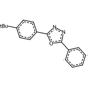 CC(C)(C)c1ccc(-c2nnc(-c3[c]cc[c]c3)o2)cc1